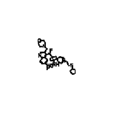 COc1ccc2ncc(CN3CCOCC3)c([C@H](F)CCC3(C(=O)NO)CCN(CCSC4CCCC4)CC3)c2c1